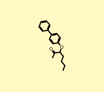 CCCCC(Oc1ccc(-c2ccccc2)cc1)C(C)=O